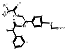 CCCC(C)COc1ccc([C@H](CNC(=O)[C@@H](N)C(C)C)NC(=O)C(C)c2ccccc2)cc1